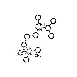 CCC1(C)C(c2ccccc2)=NC(C2C=CC=CC2C)=NC1c1cccc(-c2cccc(-c3cccc(C4=NC(c5cc(-c6ccccc6)cc(-c6ccccc6)c5)NC(c5ccccc5)=CC4)c3)c2)c1